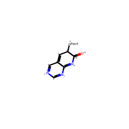 CCCCCC1C=c2cncnc2=NC1=O